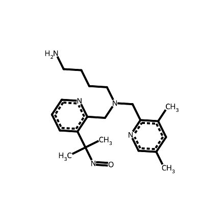 Cc1cnc(CN(CCCCN)Cc2ncccc2C(C)(C)N=O)c(C)c1